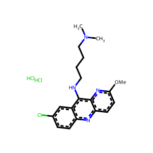 COc1ccc2nc3ccc(Cl)cc3c(NCCCCN(C)C)c2n1.Cl.Cl